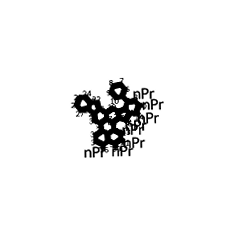 CCCc1c(CCC)c(-c2ccccc2)c2c(c1CCC)c(CCC)c1c2cc2c3cc4ccccc4c3cc3c4ccc(CCC)c5c(CCC)c(CCC)c(CCC)c(c54)c1c23